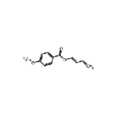 C=CC=COC(=O)c1ccc(OC)cc1